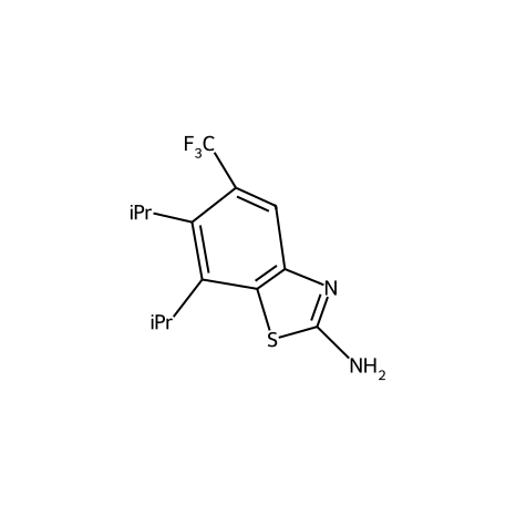 CC(C)c1c(C(F)(F)F)cc2nc(N)sc2c1C(C)C